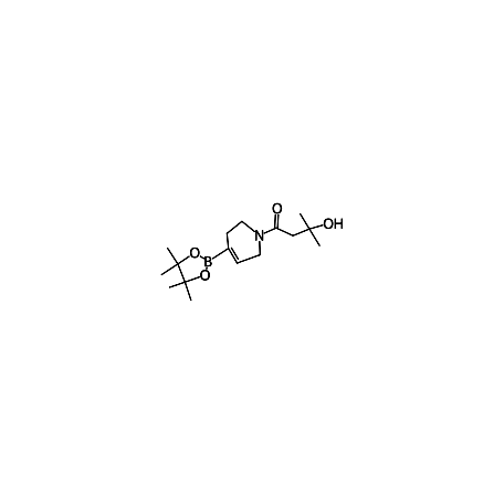 CC(C)(O)CC(=O)N1CC=C(B2OC(C)(C)C(C)(C)O2)CC1